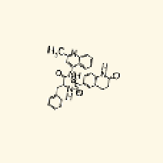 Cc1cc(NC(=O)C(Cc2ccccc2)NS(=O)(=O)c2ccc3c(c2)CCC(=O)N3)c2ccccc2n1